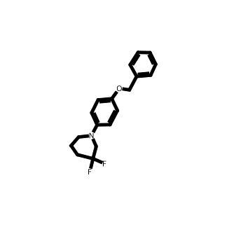 FC1(F)CCCN(c2ccc(OCc3ccccc3)cc2)C1